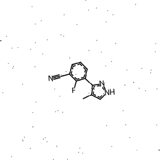 Cc1c[nH]nc1-c1cccc(C#N)c1F